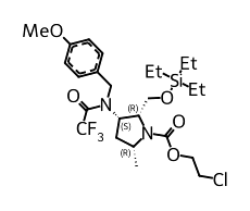 CC[Si](CC)(CC)OC[C@H]1[C@@H](N(Cc2ccc(OC)cc2)C(=O)C(F)(F)F)C[C@@H](C)N1C(=O)OCCCl